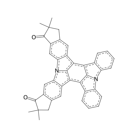 CC1(C)Cc2cc3c4c5c6ccccc6n6c7ccccc7c(c7c8cc9c(cc8n(c3cc2C1=O)c47)C(=O)C(C)(C)C9)c56